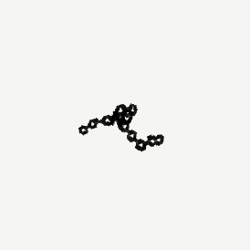 c1ccc(-c2ccc(-c3ccc(N(c4ccc(-c5ccc(-c6cccc(-c7ccc8ccccc8c7)c6)cc5)cc4)c4cccc5c4oc4ccccc45)cc3)cc2)cc1